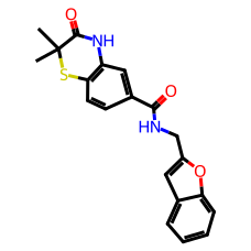 CC1(C)Sc2ccc(C(=O)NCc3cc4ccccc4o3)cc2NC1=O